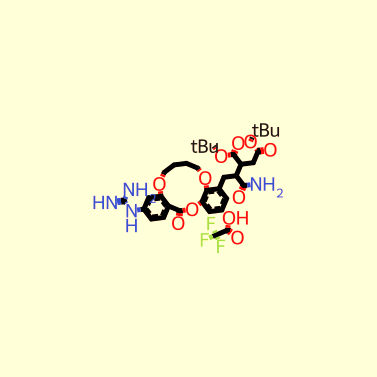 CC(C)(C)OC(=O)CC(C(=O)OC(C)(C)C)C(Cc1cccc2c1OCCCCOc1cc(NC(=N)N)ccc1C(=O)O2)C(N)=O.O=C(O)C(F)(F)F